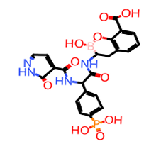 O=C(O)c1cccc2c1OB(O)C(NC(=O)C(NC(=O)c1ccn[nH]c1=O)c1ccc(P(=O)(O)O)cc1)C2